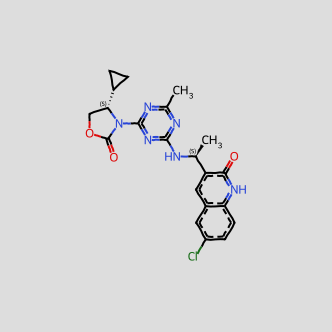 Cc1nc(N[C@@H](C)c2cc3cc(Cl)ccc3[nH]c2=O)nc(N2C(=O)OC[C@@H]2C2CC2)n1